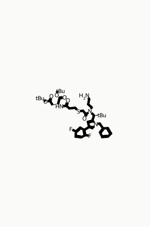 CC(C)(C)OC(=O)C[C@@H](NC(=O)CCSCC(=O)N(CCCN)[C@@H](c1cc(-c2cc(F)ccc2F)cn1Cc1ccccc1)C(C)(C)C)C(=O)OC(C)(C)C